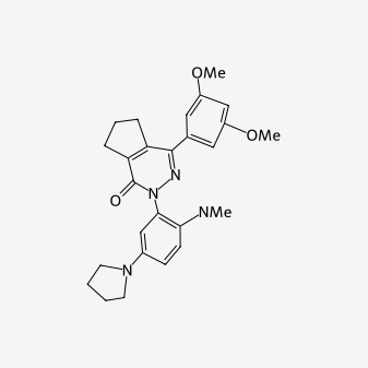 CNc1ccc(N2CCCC2)cc1-n1nc(-c2cc(OC)cc(OC)c2)c2c(c1=O)CCC2